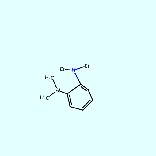 CCN(CC)c1cccc[c]1[Al]([CH3])[CH3]